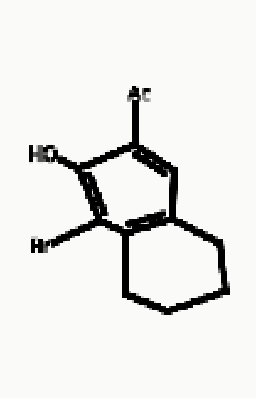 CC(=O)c1cc2c(c(Br)c1O)CCCC2